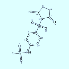 CS(=O)(=O)Nc1ccc(S(=O)(=O)N2C(=O)CCC2=O)cc1